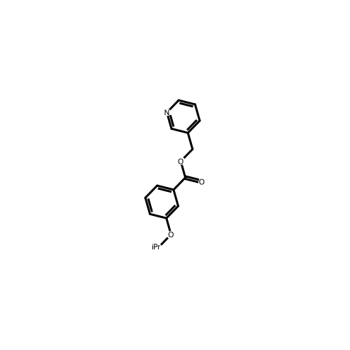 CC(C)Oc1cccc(C(=O)OCc2cccnc2)c1